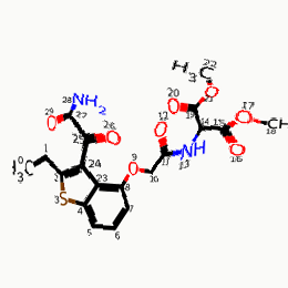 CCc1sc2cccc(OCC(=O)NC(C(=O)OC)C(=O)OC)c2c1C(=O)C(N)=O